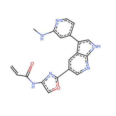 C=CC(=O)Nc1coc(-c2cnc3[nH]cc(-c4ccnc(NC)c4)c3c2)n1